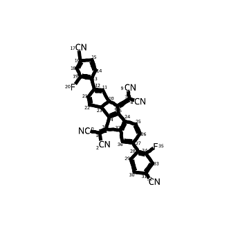 N#CC(C#N)=C1C2=C(C(=C(C#N)C#N)C3C=C(c4ccc(C#N)cc4F)C=CC23)c2ccc(-c3ccc(C#N)cc3F)cc21